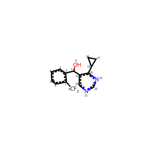 OC(c1ccccc1C(F)(F)F)c1cncnc1C1CC1